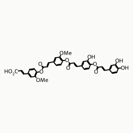 COc1cc(C=CC(=O)O)ccc1OC(=O)C=Cc1ccc(OC(=O)C=Cc2ccc(OC(=O)C=Cc3ccc(O)c(O)c3)c(O)c2)c(OC)c1